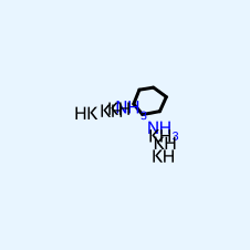 C1CCCCC1.N.N.[KH].[KH].[KH].[KH].[KH].[KH]